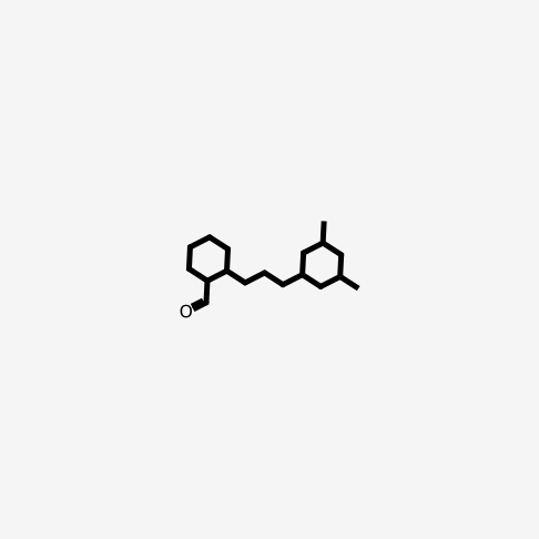 CC1CC(C)CC(CCCC2CCCCC2C=O)C1